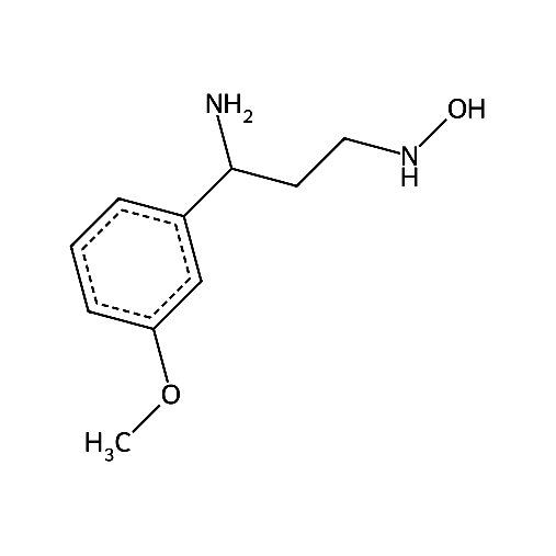 COc1cccc(C(N)CCNO)c1